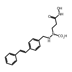 O=C(CCN(NCc1ccc(C=Cc2ccccc2)cc1)C(=O)O)NO